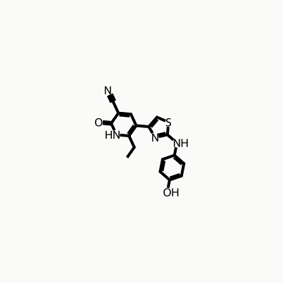 CCc1[nH]c(=O)c(C#N)cc1-c1csc(Nc2ccc(O)cc2)n1